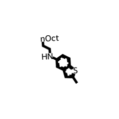 CCCCCCCCCCNc1ccc2sc(C)cc2c1